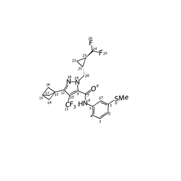 CSc1cccc(NC(=O)c2c(C(F)(F)F)c(C34CC(C3)C4)nn2C[C@@H]2C[C@H]2C(F)F)c1